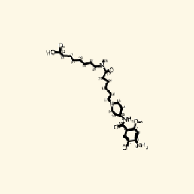 COc1cc(N)c(Cl)cc1C(=O)NC1CCN(CCCCCC(=O)N(C)CCCCCCCC(=O)O)CC1